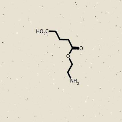 NCCOC(=O)CCCC(=O)O